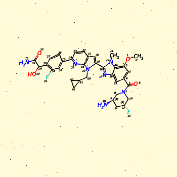 COc1cc(C(=O)N2C[C@H](N)C[C@@H](F)C2)cc2nc(-c3cc4ccc(-c5ccc(C(O)C(N)=O)c(F)c5)nc4n3CC3CC3)n(C)c12